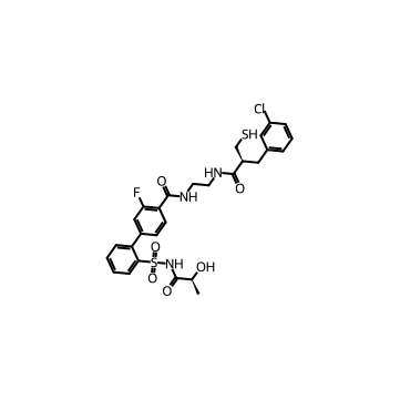 C[C@H](O)C(=O)NS(=O)(=O)c1ccccc1-c1ccc(C(=O)NCCNC(=O)[C@@H](CS)Cc2cccc(Cl)c2)c(F)c1